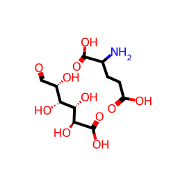 NC(CCC(=O)O)C(=O)O.O=C[C@H](O)[C@@H](O)[C@H](O)[C@H](O)C(=O)O